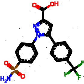 NS(=O)(=O)c1ccc(-n2nc(C(=O)O)cc2-c2ccc(C(F)(F)F)cc2)cc1